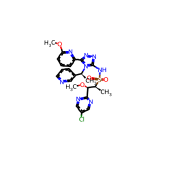 COc1cccc(-c2nnc(NS(=O)(=O)[C@@H](C)[C@H](OC)c3ncc(Cl)cn3)n2[C@@H](C)c2cccnc2)n1